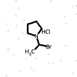 CC(Br)N1CCCC1.Cl